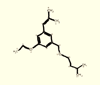 CCOc1cc(C=C(C)C)cc(COCCC(C)C)c1